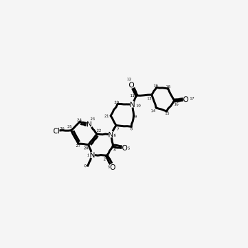 Cn1c(=O)c(=O)n(C2CCN(C(=O)C3CCC(=O)CC3)CC2)c2ncc(Cl)cc21